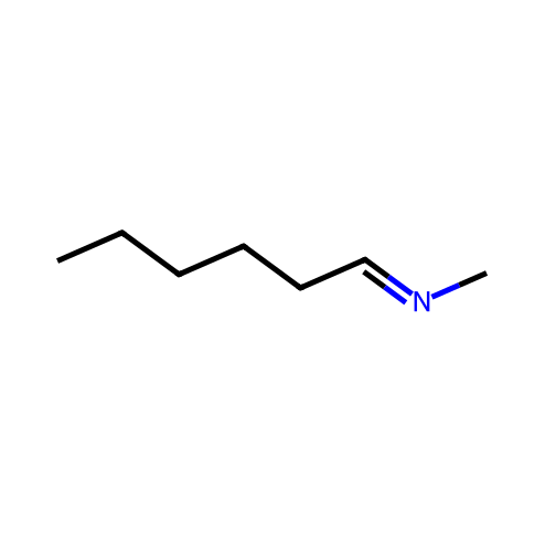 CCCCCC=NC